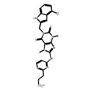 Cn1c(Nc2ccnc(CCC(=O)O)n2)nc2c1c(=O)n(Cc1cc3c(Cl)cccc3[nH]1)c(=O)n2C